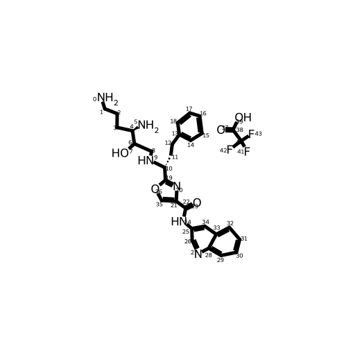 NCCC[C@@H](N)C(O)CN[C@H](CCc1ccccc1)c1nc(C(=O)Nc2cnc3ccccc3c2)co1.O=C(O)C(F)(F)F